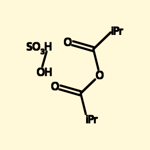 CC(C)C(=O)OC(=O)C(C)C.O=S(=O)(O)O